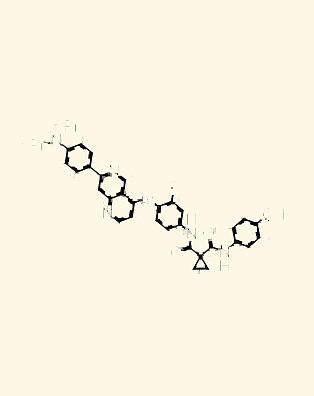 CCCN(CCC)c1ccc(-c2cc3nccc(Oc4ccc(NC(=O)C5(C(=O)Nc6ccc(C)cc6)CC5)cc4F)c3cn2)cc1